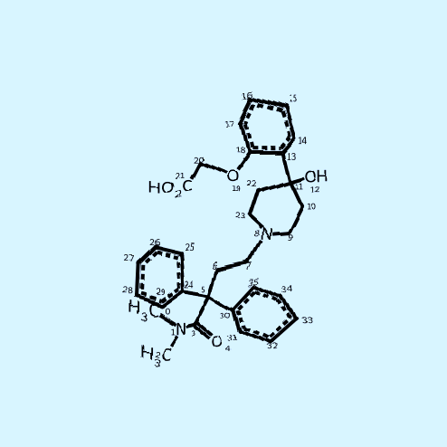 CN(C)C(=O)C(CCN1CCC(O)(c2ccccc2OCC(=O)O)CC1)(c1ccccc1)c1ccccc1